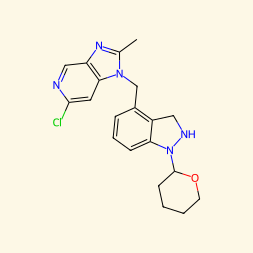 Cc1nc2cnc(Cl)cc2n1Cc1cccc2c1CNN2C1CCCCO1